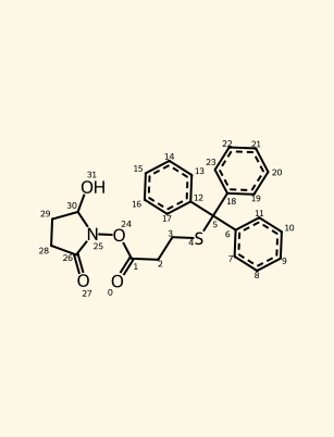 O=C(CCSC(c1ccccc1)(c1ccccc1)c1ccccc1)ON1C(=O)CCC1O